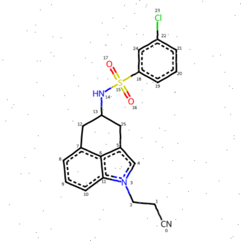 N#CCCn1cc2c3c(cccc31)CC(NS(=O)(=O)c1cccc(Cl)c1)C2